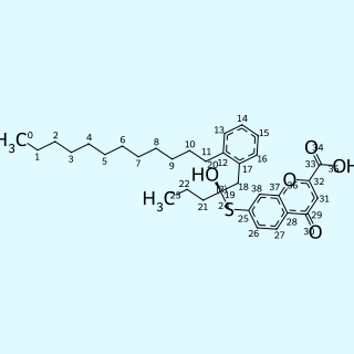 CCCCCCCCCCCCc1ccccc1C[C@@](O)(CCC)Sc1ccc2c(=O)cc(C(=O)O)oc2c1